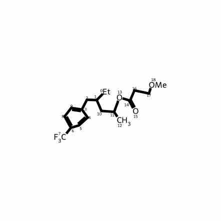 CCC(Cc1ccc(C(F)(F)F)cc1)CC(C)OC(=O)CCOC